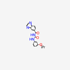 CC(C)Oc1cccc(NC(=O)NC(=O)c2ccc3nccnc3c2)c1